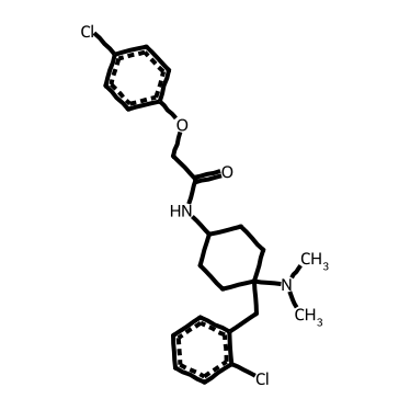 CN(C)C1(Cc2ccccc2Cl)CCC(NC(=O)COc2ccc(Cl)cc2)CC1